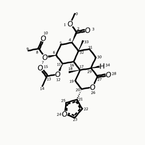 COC(=O)[C@@H]1C[C@H](OC(C)=O)[C@H](OC(C)=O)C2[C@@]3(C)C[C@@H](c4ccoc4)OC(=O)[C@H]3CC[C@]21C